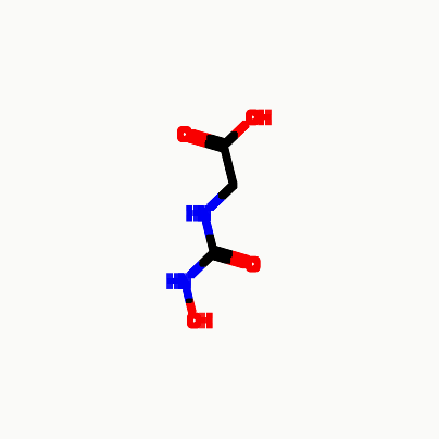 O=C(O)CNC(=O)NO